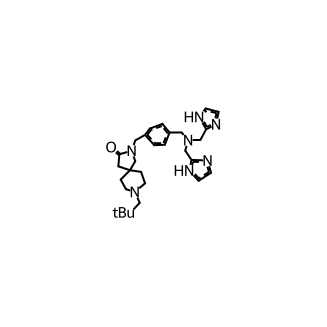 CC(C)(C)CN1CCC2(CC1)CC(=O)N(Cc1ccc(CN(Cc3ncc[nH]3)Cc3ncc[nH]3)cc1)C2